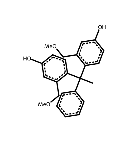 COCc1cc(O)ccc1C(C)(c1ccccc1)c1ccc(O)cc1COC